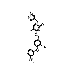 Cc1cn(Cc2cnn(C)c2)c(=O)nc1OCc1ccc(Oc2cccc(C(F)(F)F)c2)c(C#N)c1